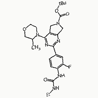 CCNC(=O)Nc1ccc(-c2nc3c(c(N4CCOCC4C)n2)CN(C(=O)OC(C)(C)C)C3)cc1F